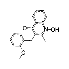 COc1ccccc1Cc1c(C)n(O)c2ccccc2c1=O